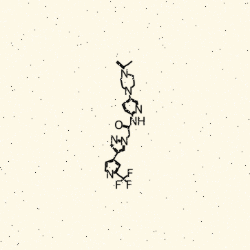 C=C(C)N1CCN(c2ccc(NC(=O)Cn3cc(-c4ccnc(C(F)(F)F)c4)cn3)nc2)CC1